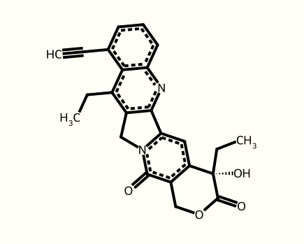 C#Cc1cccc2nc3c(c(CC)c12)Cn1c-3cc2c(c1=O)COC(=O)[C@]2(O)CC